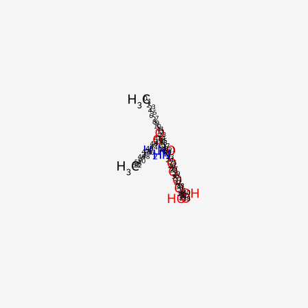 CCCCCCCCCCCCOC[C@H](CSC[C@H](N)C(=O)NCCOCCOCCOCCOCCP(=O)(O)O)OCCCCCCCCCCCC